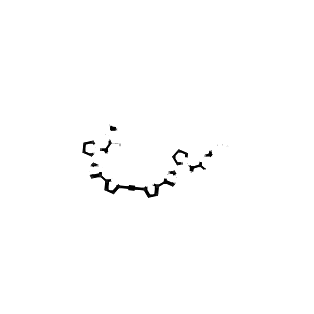 COC(=O)NC(C(=O)N1CCC[C@H]1c1ncc(-c2ccc(C#Cc3ccc(-c4cnc([C@@H]5CCCN5C(=O)[C@@H](NC(=O)OC)C(C)C)[nH]4)s3)s2)[nH]1)C(C)C